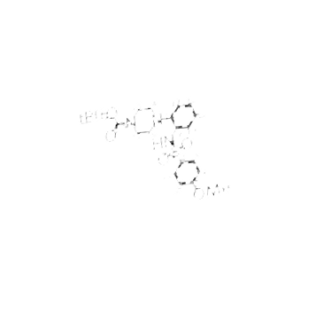 COc1ccc(S(=O)(=O)Nc2ccccc2N2CCN(C(=O)OC(C)(C)C)CC2)cc1